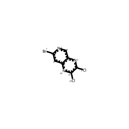 Clc1nc2cnc(Br)cc2nc1Cl